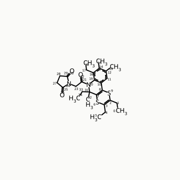 CCC1=C(CC)SC2=C(S1)c1cc(C)c(C)c(CC)c1N(C(=O)CN1C(=O)CCC1=O)C2(C)CC